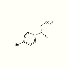 CC(=O)N(CC(=O)O)c1ccc(C(C)(C)C)cc1